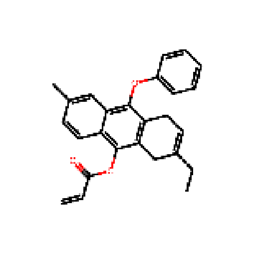 C=CC(=O)Oc1c2c(c(Oc3ccccc3)c3cc(C)ccc13)CC=C(CC)C2